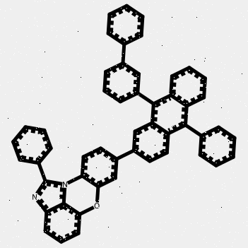 c1ccc(-c2cccc(-c3c4ccccc4c(-c4ccccc4)c4ccc(-c5ccc6c(c5)Oc5cccc7nc(-c8ccccc8)n-6c57)cc34)c2)cc1